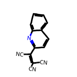 N#CC(C#N)=C(C#N)c1ccc2ccccc2n1